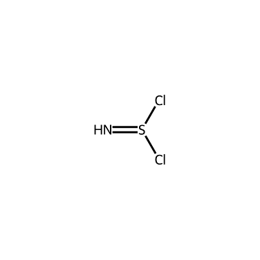 N=S(Cl)Cl